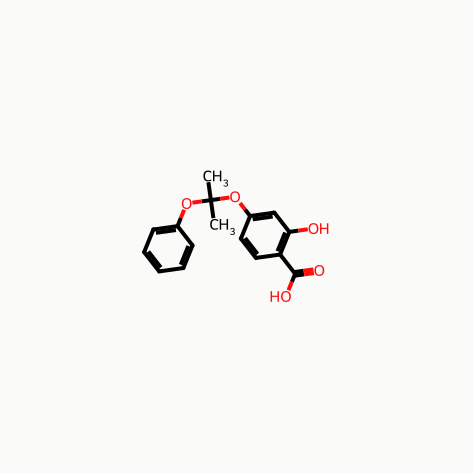 CC(C)(Oc1ccccc1)Oc1ccc(C(=O)O)c(O)c1